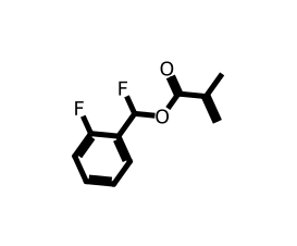 C=C(C)C(=O)OC(F)c1ccccc1F